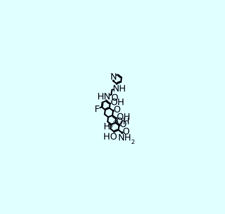 NC(=O)C1=C(O)C[C@@H]2CC3Cc4c(F)cc(NC(=O)CNc5cccnc5)c(O)c4C(=O)C3=C(O)[C@]2(O)C1=O